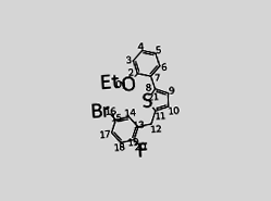 CCOc1ccccc1-c1ccc(Cc2cc(Br)ccc2F)s1